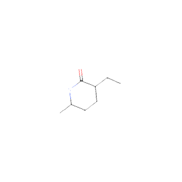 CCC1CCC(C)NC1=O